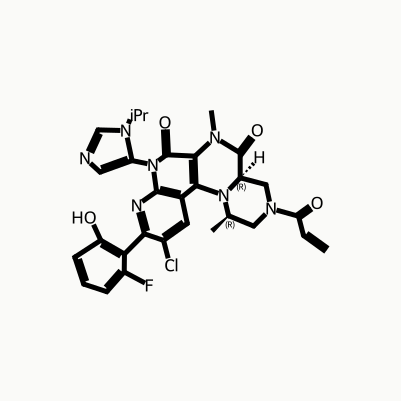 C=CC(=O)N1C[C@@H](C)N2c3c(c(=O)n(-c4cncn4C(C)C)c4nc(-c5c(O)cccc5F)c(Cl)cc34)N(C)C(=O)[C@H]2C1